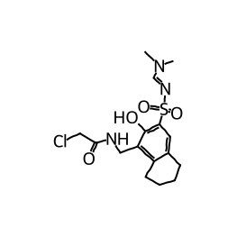 CN(C)C=NS(=O)(=O)c1cc2c(c(CNC(=O)CCl)c1O)CCCC2